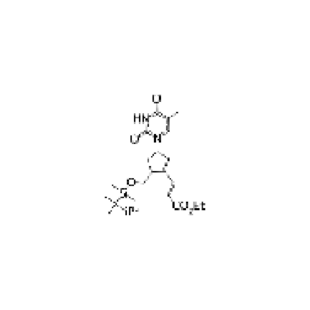 CCOC(=O)C=CC1=CC(n2cc(C)c(=O)[nH]c2=O)CC1CO[Si](C)(C)C(C)(C)C(C)C